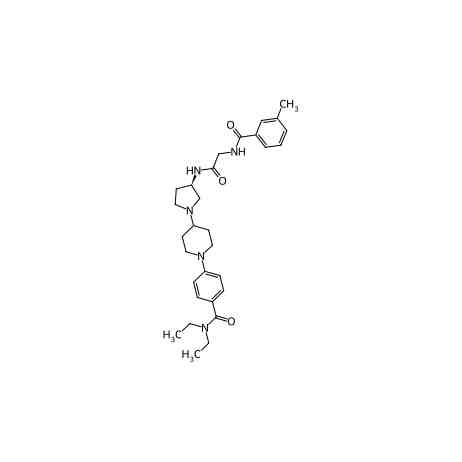 CCN(CC)C(=O)c1ccc(N2CCC(N3CC[C@@H](NC(=O)CNC(=O)c4cccc(C)c4)C3)CC2)cc1